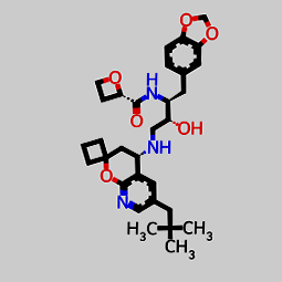 CC(C)(C)Cc1cnc2c(c1)[C@@H](NC[C@@H](O)[C@H](Cc1ccc3c(c1)OCO3)NC(=O)[C@@H]1CCO1)CC1(CCC1)O2